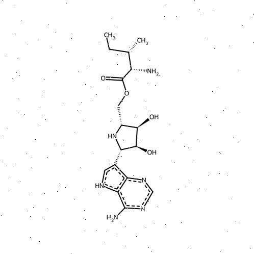 CC[C@H](C)[C@H](N)C(=O)OC[C@H]1N[C@@H](c2c[nH]c3c(N)ncnc23)[C@H](O)[C@@H]1O